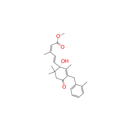 COC(=O)/C=C(C)\C=C\[C@@]1(O)C(C)=C(Cc2ccccc2C)C(=O)CC1(C)C